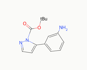 CC(C)(C)OC(=O)n1nccc1-c1cccc(N)c1